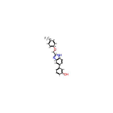 Oc1cccc(-c2ccc3[nH]c(COc4ccc(C(F)(F)F)cc4)nc3c2)c1